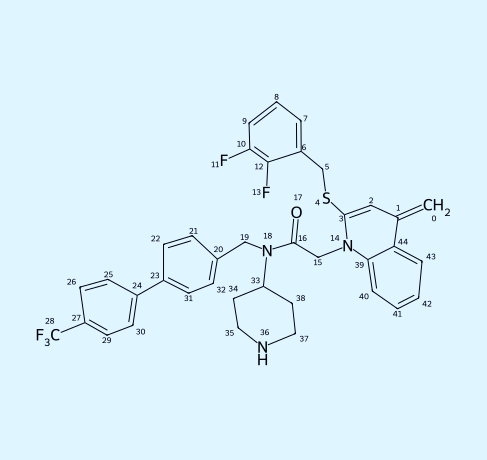 C=C1C=C(SCc2cccc(F)c2F)N(CC(=O)N(Cc2ccc(-c3ccc(C(F)(F)F)cc3)cc2)C2CCNCC2)c2ccccc21